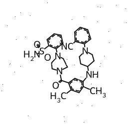 Cc1cc(C)c(C(=O)N2CCN(c3ccccc3S(N)(=O)=O)CC2)cc1NC1CCN(c2ccccc2C#N)CC1